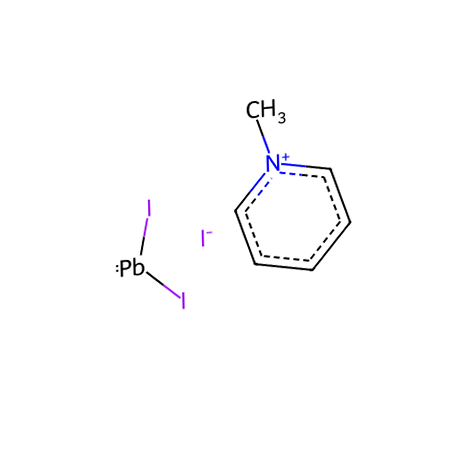 C[n+]1ccccc1.[I-].[I][Pb][I]